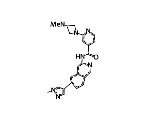 CNC1CN(c2cc(C(=O)Nc3cc4cc(-c5cnn(C)c5)ccc4cn3)ccn2)C1